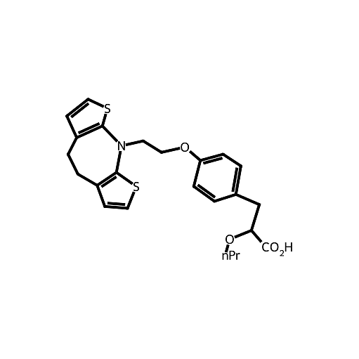 CCCOC(Cc1ccc(OCCN2c3sccc3CCc3ccsc32)cc1)C(=O)O